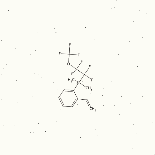 C=Cc1ccccc1[Si](C)(C)C(F)(F)C(F)(F)OC(F)(F)F